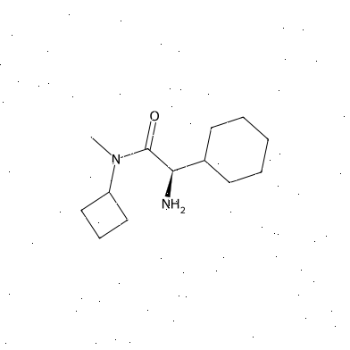 CN(C(=O)[C@H](N)C1CCCCC1)C1CCC1